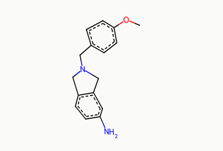 COc1ccc(CN2Cc3ccc(N)cc3C2)cc1